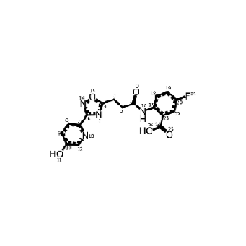 O=C(CCc1nc(-c2ccc(O)cn2)no1)Nc1ccc(F)cc1C(=O)O